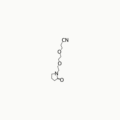 N#CCCOCCOCCN1CCCC1=O